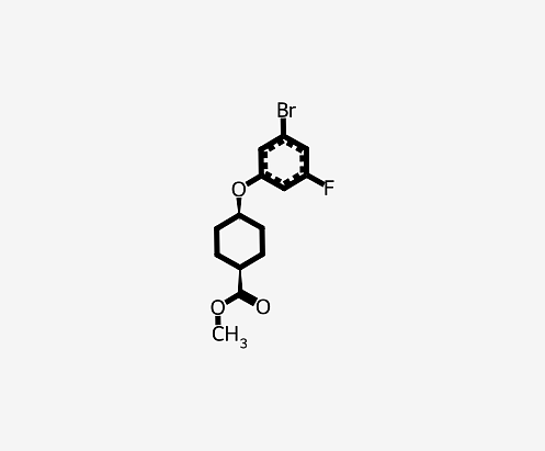 COC(=O)[C@H]1CC[C@@H](Oc2cc(F)cc(Br)c2)CC1